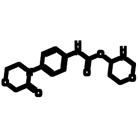 O=C(Nc1ccc(N2CCOCC2=O)cc1)OC1CCOCN1